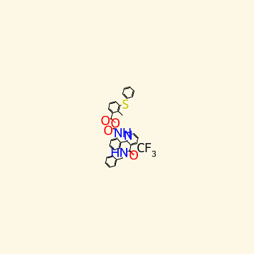 Cc1c(Sc2ccccc2)cccc1C(=O)OC(=O)Nc1ccccc1-c1nccc(C(F)(F)F)c1C(=O)NCc1ccccc1